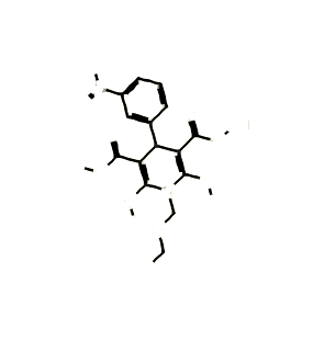 CCOCN1C(OC)=C(C(=O)OC)C(c2cccc([N+](=O)[O-])c2)C(C(=O)OC)=C1OC